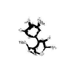 CCCCc1n[nH]c2c1C(c1cc(OC)c(O)c([N+](=O)[O-])c1)C(C#N)=C(N)O2